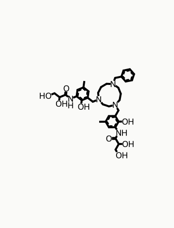 Cc1cc(CN2CCCN(Cc3ccccc3)CCCN(Cc3cc(C)cc(NC(=O)C(O)CO)c3O)CC2)c(O)c(NC(=O)C(O)CO)c1